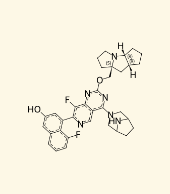 Oc1cc(-c2ncc3c(N4CC5CCC(C4)N5)nc(OC[C@@]45CCCN4[C@@H]4CCC[C@@H]4C5)nc3c2F)c2c(F)cccc2c1